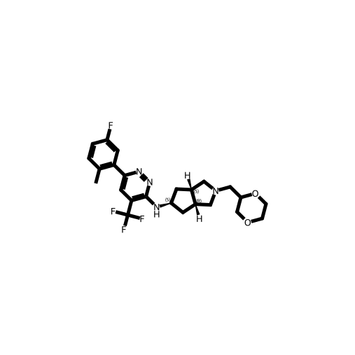 Cc1ccc(F)cc1-c1cc(C(F)(F)F)c(N[C@H]2C[C@@H]3CN(CC4COCCO4)C[C@@H]3C2)nn1